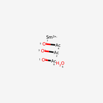 CC(=O)[O-].CC(=O)[O-].CC(=O)[O-].O.[Sm+3]